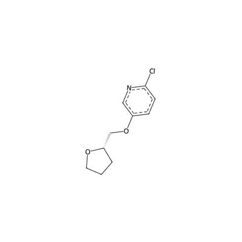 Clc1ccc(OC[C@@H]2CCCO2)cn1